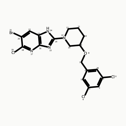 Clc1cc(Cl)cc(COC2CCCN(c3nc4nc(Cl)c(Br)cc4[nH]3)C2)c1